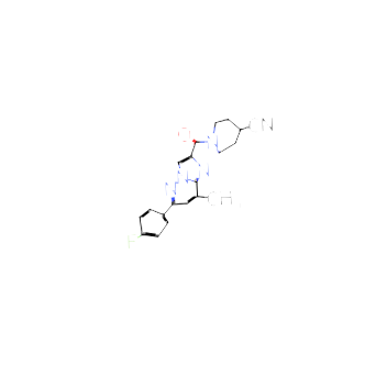 Cc1cc(-c2ccc(F)cc2)nn2cc(C(=O)N3CCC(C#N)CC3)nc12